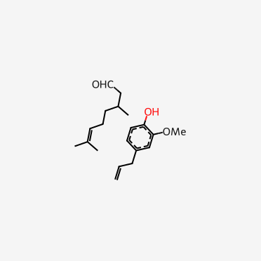 C=CCc1ccc(O)c(OC)c1.CC(C)=CCCC(C)CC=O